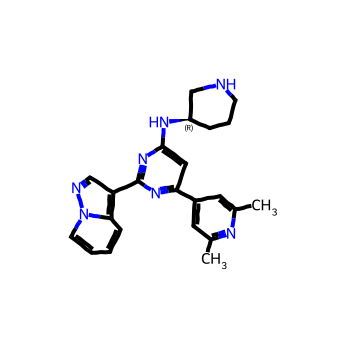 Cc1cc(-c2cc(N[C@@H]3CCCNC3)nc(-c3cnn4ccccc34)n2)cc(C)n1